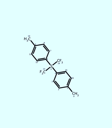 Cc1ccc(S(c2ccc(C)cc2)(C(F)(F)F)C(F)(F)F)cc1